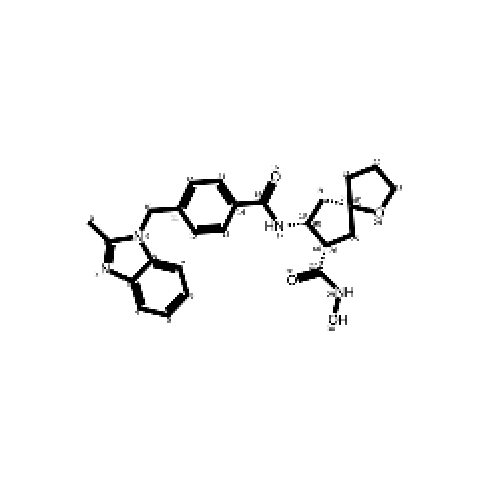 Cc1nc2ccccc2n1Cc1ccc(C(=O)N[C@@H]2C[C@@]3(CCCO3)C[C@@H]2C(=O)NO)cc1